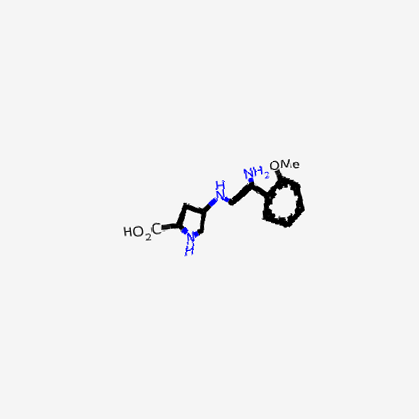 COc1ccccc1/C(N)=C/NC1CNC(C(=O)O)C1